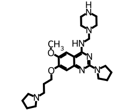 COc1cc2c(NCN3CCNCC3)nc(N3CCCC3)nc2cc1OCCCN1CCCC1